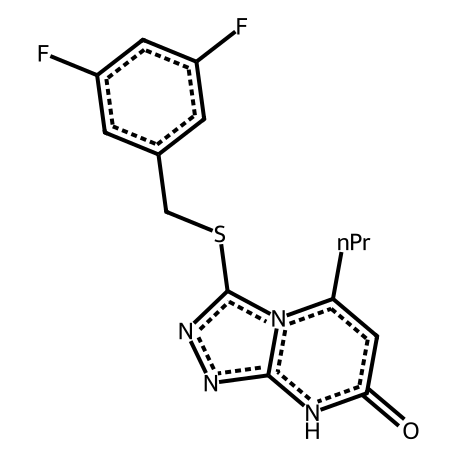 CCCc1cc(=O)[nH]c2nnc(SCc3cc(F)cc(F)c3)n12